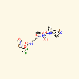 Cc1ncsc1-c1ccc([C@H](C)NC(=O)[C@@H]2C=C(O)CN2C(=O)[C@@H](NC(=O)CCCCCCNC(=O)COc2c(-c3csc(N4CCOCC4)n3)ccc(F)c2F)C(C)(C)C)cc1